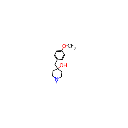 CN1CCC(O)(Cc2ccc(OC(F)(F)F)cc2)CC1